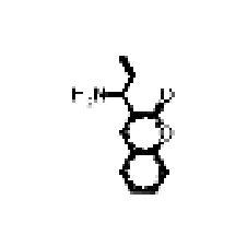 C=CC(N)c1cc2ccccc2oc1=O